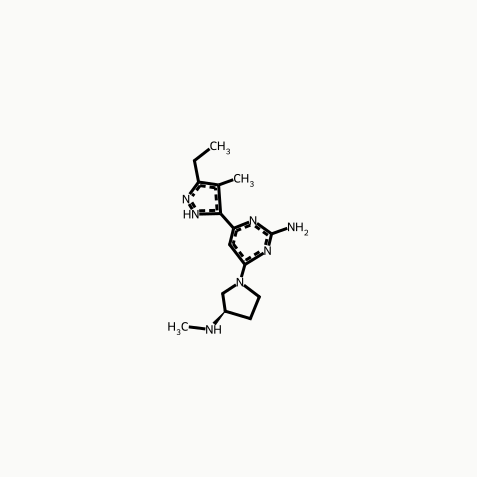 CCc1n[nH]c(-c2cc(N3CC[C@@H](NC)C3)nc(N)n2)c1C